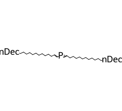 CCCCCCCCCCCCCCCCCCCCC/C=C/[P]/C=C/CCCCCCCCCCCCCCCCCCCCC